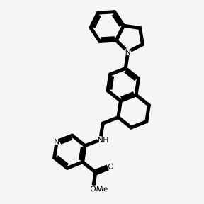 COC(=O)c1ccncc1NCC1CCCc2cc(N3CCc4ccccc43)ccc21